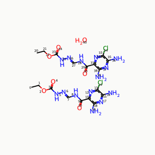 CCOC(=O)NN=CNC(=O)c1nc(Cl)c(N)nc1N.CCOC(=O)NN=CNC(=O)c1nc(Cl)c(N)nc1N.O